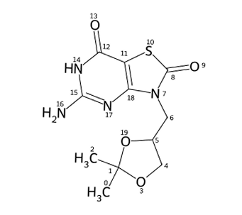 CC1(C)OCC(Cn2c(=O)sc3c(=O)[nH]c(N)nc32)O1